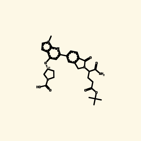 Cn1ccc2c(O[C@@H]3CCN(C(=O)O)C3)cc(-c3ccc4c(c3)CN(C(CCC(=O)OC(C)(C)C)C(N)=O)C4=O)nc21